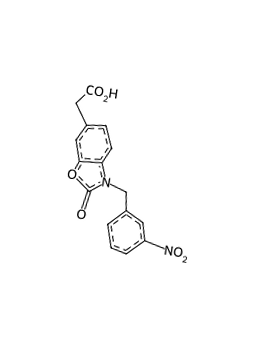 O=C(O)Cc1ccc2c(c1)oc(=O)n2Cc1cccc([N+](=O)[O-])c1